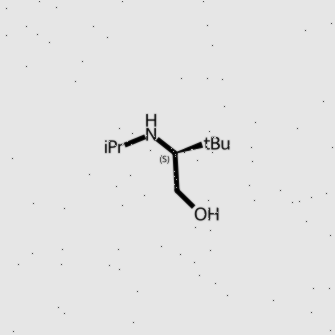 CC(C)N[C@H](CO)C(C)(C)C